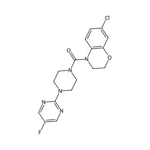 O=C(N1CCN(c2ncc(F)cn2)CC1)N1CCOc2cc(Cl)ccc21